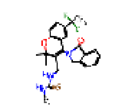 CCNC(=S)NCC1=C(N2Cc3ccccc3C2=O)c2cc(C(F)(F)C(F)(F)F)ccc2OC1(C)C